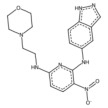 O=[N+]([O-])c1ccc(NCCN2CCOCC2)nc1Nc1ccc2[nH]ncc2c1